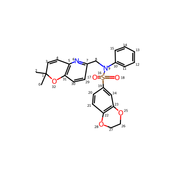 CC1(C)C=Cc2nc(CN(c3ccccc3)S(=O)(=O)c3ccc4c(c3)OCCO4)ccc2O1